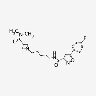 CN(C)C(=O)C1CN(CCCCCNC(=O)c2cc(-c3ccc(F)cc3)on2)C1